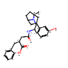 CC(CN1C2CC[C@@H]1CC(c1cccc(O)c1)C2)NC(=O)CC(Cc1ccccc1)C(=O)O